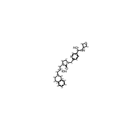 O=C1N(Cc2ccc(C(O)NC3COC3)cn2)CCN1C[C@H](O)CN1CCc2ccccc2C1